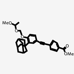 COC(=O)c1ccc(C#Cc2ccc(OCOC(C)OC)c(C34CC5CC(CC(C5)C3)C4)c2)cc1